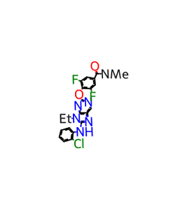 CCn1c(Nc2ccccc2Cl)nc2cnc(Oc3c(F)cc(C(=O)NC)cc3F)nc21